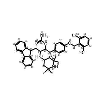 CC1(C)CC(NC(CC2c3ccccc3-c3ccccc32)C(Cc2ccc(OCc3c(Cl)cccc3Cl)cc2)OC(N)=O)CC(C)(C)N1